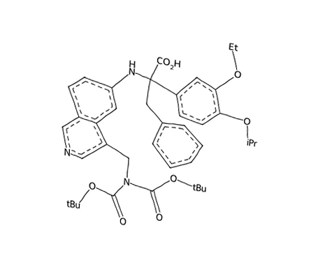 CCOc1cc(C(Cc2ccccc2)(Nc2ccc3cncc(CN(C(=O)OC(C)(C)C)C(=O)OC(C)(C)C)c3c2)C(=O)O)ccc1OC(C)C